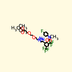 CN(C(=O)Oc1c(-c2cn(CCOCCOCCC(=O)OC(C)(C)C)nn2)cc(C(F)(F)F)cc1C(F)(F)F)c1ccc(F)cc1